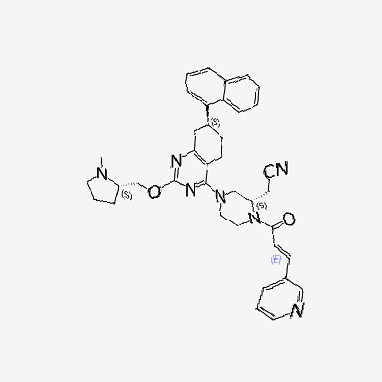 CN1CCC[C@H]1COc1nc2c(c(N3CCN(C(=O)/C=C/c4cccnc4)[C@@H](CC#N)C3)n1)CC[C@H](c1cccc3ccccc13)C2